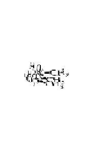 CC#N.CC(=O)O.CS(=O)(=O)O.O